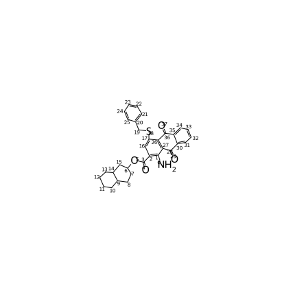 Nc1c(C(=O)OC2CCC3CCCCC3C2)cc(SCc2ccccc2)c2c1C(=O)c1ccccc1C2=O